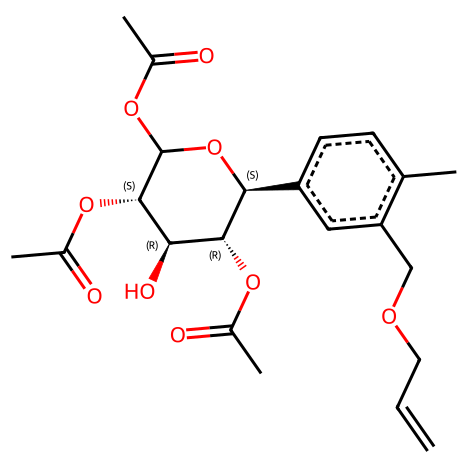 C=CCOCc1cc([C@@H]2OC(OC(C)=O)[C@@H](OC(C)=O)[C@H](O)[C@H]2OC(C)=O)ccc1C